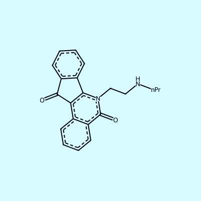 CCCNCCn1c2c(c3ccccc3c1=O)C(=O)c1ccccc1-2